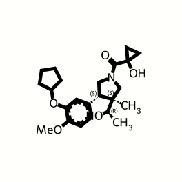 COc1ccc([C@@H]2CN(C(=O)C3(O)CC3)C[C@@]2(C)[C@@H](C)O)cc1OC1CCCC1